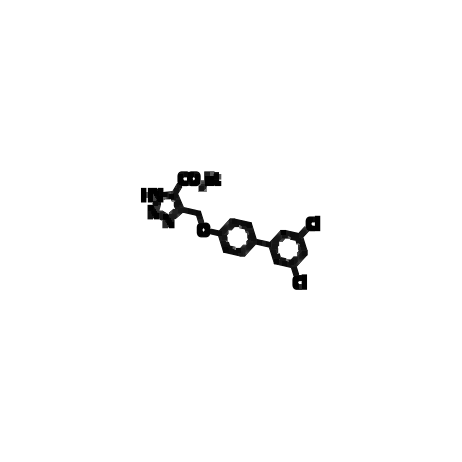 CCOC(=O)c1[nH]nnc1COc1ccc(-c2cc(Cl)cc(Cl)c2)cc1